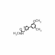 CNC(=O)Cn1cc(-c2cc(C)cc(OC)c2)cn1